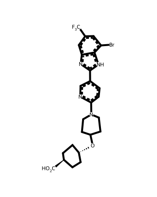 O=C(O)[C@H]1CC[C@H](OC2CCN(c3ccc(-c4nc5cc(C(F)(F)F)cc(Br)c5[nH]4)cn3)CC2)CC1